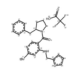 CC(C)(C)c1ncc(C(=O)N2CCCC2Cc2ccccc2)c(NCc2ccco2)n1.O=C(O)C(F)(F)F